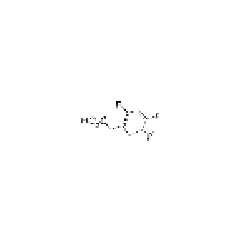 O=C(O)CC1=C(F)C=C(F)C(F)C1